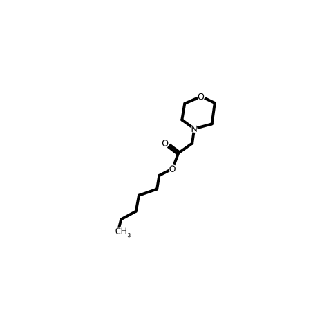 CCCCCCOC(=O)CN1CCOCC1